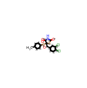 Cc1ccc(S(=O)(=O)C2(Cc3ccc(Cl)c(Cl)c3)SC(=O)NC2=O)cc1